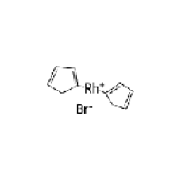 C1=CC[C]([Rh+][C]2=CC=CC2)=C1.[Br-]